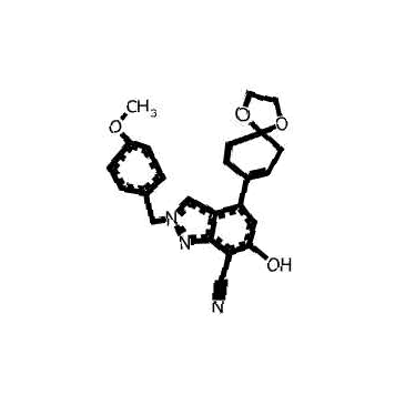 COc1ccc(Cn2cc3c(C4=CCC5(CC4)OCCO5)cc(O)c(C#N)c3n2)cc1